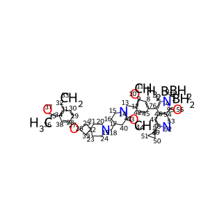 BC(B)(B)n1cc(-c2cc(OC)c(CN3CCC(CN4CCC5(CC4)CC(Oc4ccc(C=C)c(C(C)=O)c4)C5)CC3)c(OC)c2)c2cc(C3CC3)ncc2c1=O